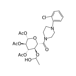 CC(=O)O[C@@H]1O[C@H](C(=O)N2CCN(c3ccccc3Cl)CC2)[C@@H](OC(C)O)[C@H](OC(C)=O)[C@H]1OC(C)=O